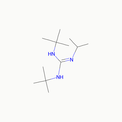 CC(C)N=C(NC(C)(C)C)NC(C)(C)C